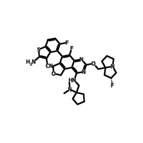 CN(C)C1(CNc2nc(OCC34CCCN3C[C@H](F)C4)nc3c(F)c(-c4c(F)ccc5sc(N)c(C#N)c45)c4c(c23)COC4)CCCC1